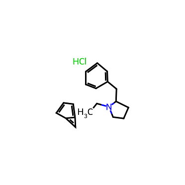 CCN1CCCC1Cc1ccccc1.Cl.c1cc2cc-2c1